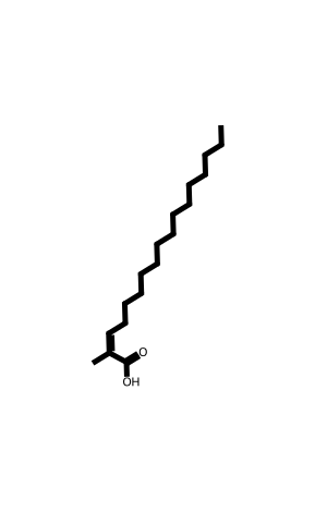 CCCCCCCCCCCCCCC=C(C)C(=O)O